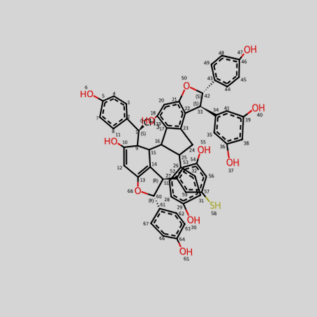 C[C@H](c1ccc(O)cc1)C1C(O)=CC2=C(C1C1c3c(O)cc4c(c3CC1c1ccc(O)cc1)[C@H](c1cc(O)cc(O)c1)[C@@H](c1ccc(O)cc1)O4)[C@@H](c1cc(O)cc(S)c1)[C@H](c1ccc(O)cc1)O2